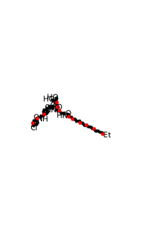 CCC=CCC=CCC=CCC=CCC=CCC=CCCC(=O)NCCCCC(NC(=O)C(C)(C)Oc1ccc(CCNC(=O)c2ccc(Cl)cc2)cc1)C(=O)OCC(CO)CO